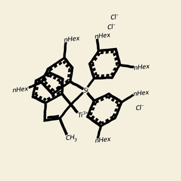 CCCCCCc1cc(CCCCCC)cc([Si](c2cc(CCCCCC)cc(CCCCCC)c2)(c2cc(CCCCCC)cc(CCCCCC)c2)[C]2([Ti+3])C(C)=Cc3ccccc32)c1.[Cl-].[Cl-].[Cl-]